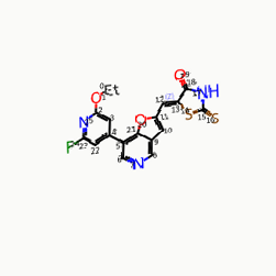 CCOc1cc(-c2cncc3cc(/C=C4\SC(=S)NC4=O)oc23)cc(F)n1